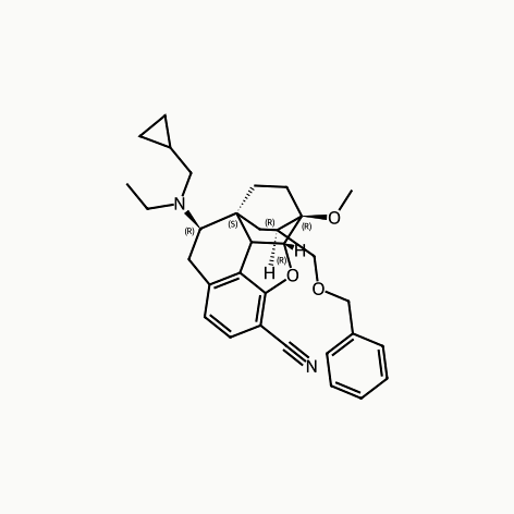 CCN(CC1CC1)[C@@H]1Cc2ccc(C#N)c3c2C2[C@@H](O3)[C@@]3(OC)CC[C@]21C[C@@H]3COCc1ccccc1